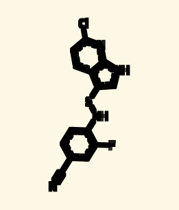 N#Cc1ccc(NSc2c[nH]c3nc(Cl)ccc23)c(F)c1